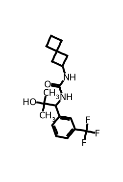 CC(C)(O)C(NC(=O)NC1CC2(CCC2)C1)c1cccc(C(F)(F)F)c1